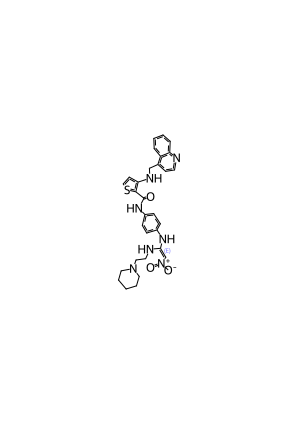 O=C(Nc1ccc(N/C(=C/[N+](=O)[O-])NCCN2CCCCC2)cc1)c1sccc1NCc1ccnc2ccccc12